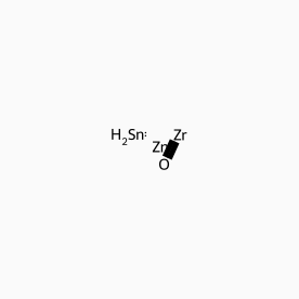 [O]=[Zr].[SnH2].[Zn]